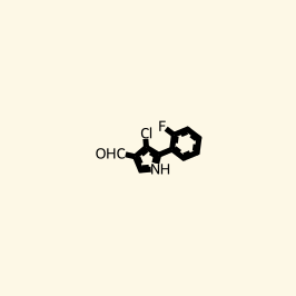 O=Cc1c[nH]c(-c2ccccc2F)c1Cl